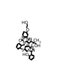 CC(C)(CO)c1cc(N(Cc2ccccc2Sc2ccc3nnc(-c4ccccc4O)n3c2)C(N)=O)n(-c2cccc(OCCO)c2)n1